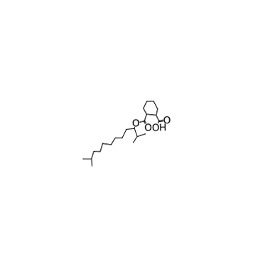 CC(C)CCCCCCCC(OC(=O)C1CCCCC1C(=O)O)C(C)C